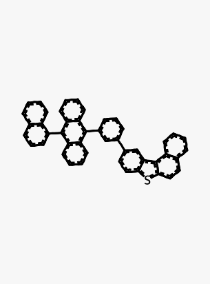 c1cc(-c2ccc3sc4ccc5ccccc5c4c3c2)cc(-c2c3ccccc3c(-c3cccc4ccccc34)c3ccccc23)c1